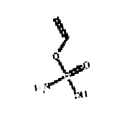 C=COP(N)(=O)O